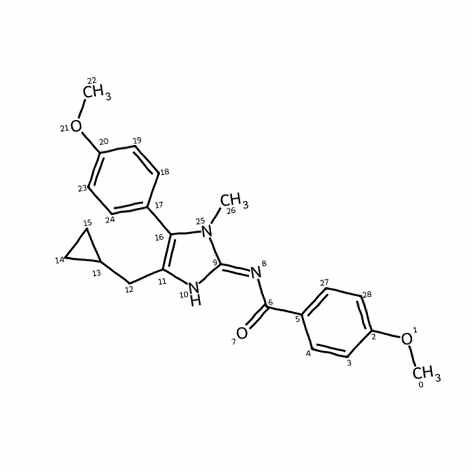 COc1ccc(C(=O)/N=c2\[nH]c(CC3CC3)c(-c3ccc(OC)cc3)n2C)cc1